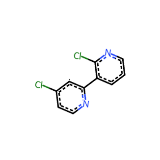 Clc1[c]c(-c2cccnc2Cl)ncc1